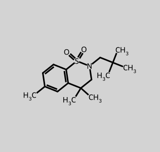 Cc1ccc2c(c1)C(C)(C)CN(CC(C)(C)C)S2(=O)=O